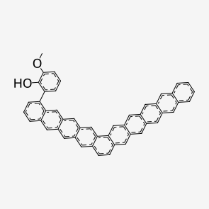 COc1cccc(-c2cccc3cc4cc5cc6ccc7cc8cc9cc%10cc%11ccccc%11cc%10cc9cc8cc7c6cc5cc4cc23)c1O